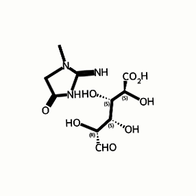 CN1CC(=O)NC1=N.O=C[C@H](O)[C@@H](O)[C@H](O)[C@H](O)C(=O)O